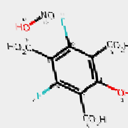 O=C(O)c1c(O)c(C(=O)O)c(F)c(C(=O)O)c1F.O=NO